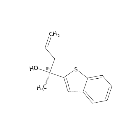 C=CC[C@](C)(O)c1cc2ccccc2s1